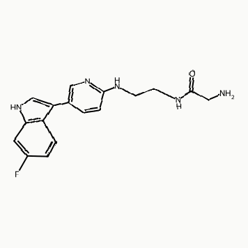 NCC(=O)NCCNc1ccc(-c2c[nH]c3cc(F)ccc23)cn1